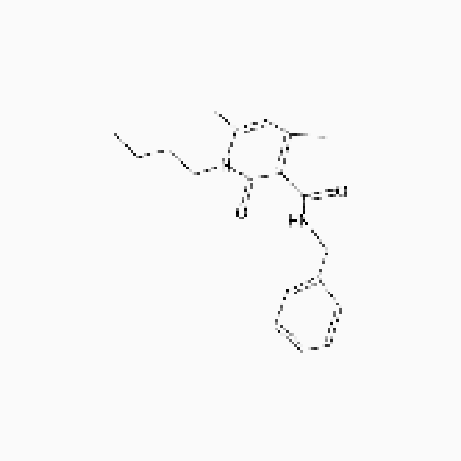 CCCCn1c(C)cc(C)c(C(=O)NCc2ccccc2)c1=O